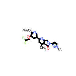 CCn1ccc(N2Cc3nc(-c4cnc(OC)c(OCC(F)F)c4)cc(C)c3C2=O)n1